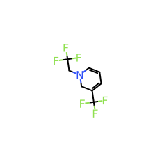 FC(F)(F)CN1C=CC=C(C(F)(F)F)C1